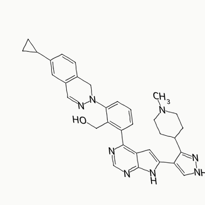 CN1CCC(c2n[nH]cc2-c2cc3c(-c4cccc(N5Cc6ccc(C7CC7)cc6C=N5)c4CO)ncnc3[nH]2)CC1